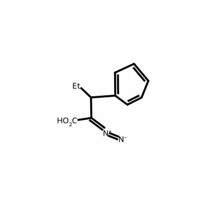 CCC(C(=[N+]=[N-])C(=O)O)c1ccccc1